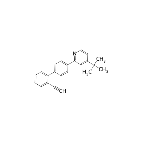 C#Cc1ccccc1-c1ccc(-c2cc(C(C)(C)C)ccn2)cc1